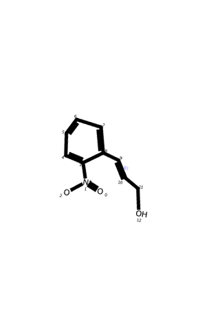 O=[N+]([O-])c1ccccc1/C=C/CO